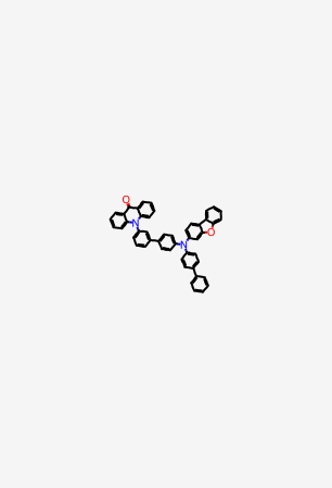 O=c1c2ccccc2n(-c2cccc(-c3ccc(N(c4ccc(-c5ccccc5)cc4)c4ccc5c(c4)oc4ccccc45)cc3)c2)c2ccccc12